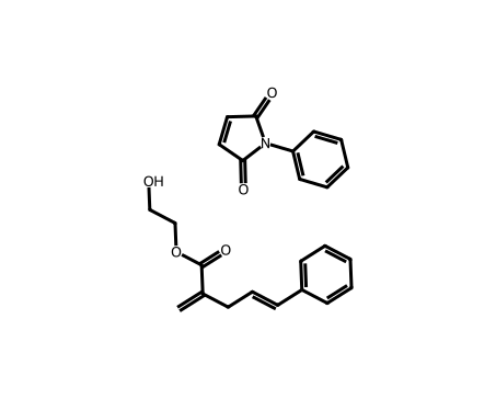 C=C(CC=Cc1ccccc1)C(=O)OCCO.O=C1C=CC(=O)N1c1ccccc1